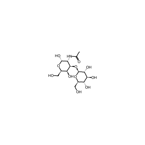 CC(=O)N[C@@H]1[C@@H](O[C@@H]2O[C@H](CO)[C@@H](O)[C@H](O)[C@H]2O)[C@@H](O)[C@@H](CO)O[C@@H]1O